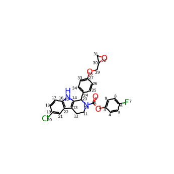 O=C(Oc1ccc(F)cc1)N1CCc2c([nH]c3ccc(Cl)cc23)C1c1ccc(OCC2CO2)cc1